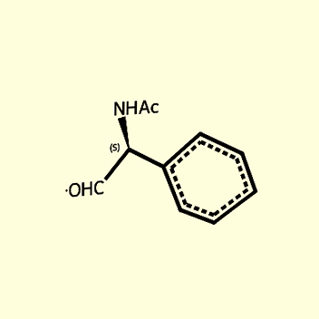 CC(=O)N[C@H]([C]=O)c1ccccc1